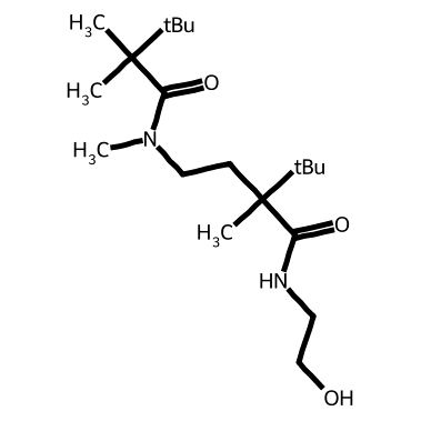 CN(CCC(C)(C(=O)NCCO)C(C)(C)C)C(=O)C(C)(C)C(C)(C)C